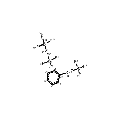 F[B-](F)(F)F.F[B-](F)(F)F.F[B-](F)(F)F.[K][c]1ccccc1